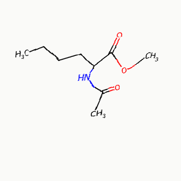 CCCCC(NC(C)=O)C(=O)OC